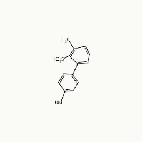 Cc1cccc(-c2ccc(C(C)(C)C)cc2)c1S(=O)(=O)O